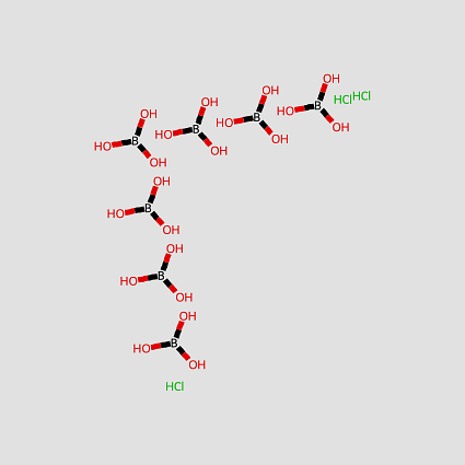 Cl.Cl.Cl.OB(O)O.OB(O)O.OB(O)O.OB(O)O.OB(O)O.OB(O)O.OB(O)O